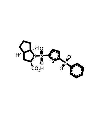 O=C(O)[C@H]1C[C@H]2CCC[C@H]2N1S(=O)(=O)c1ccc(S(=O)(=O)c2ccccc2)s1